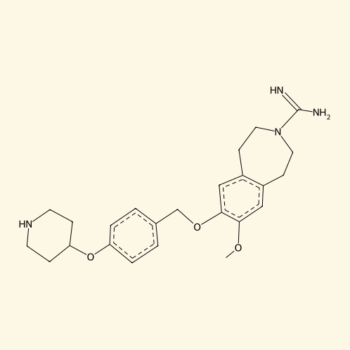 COc1cc2c(cc1OCc1ccc(OC3CCNCC3)cc1)CCN(C(=N)N)CC2